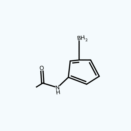 Bc1cccc(NC(C)=O)c1